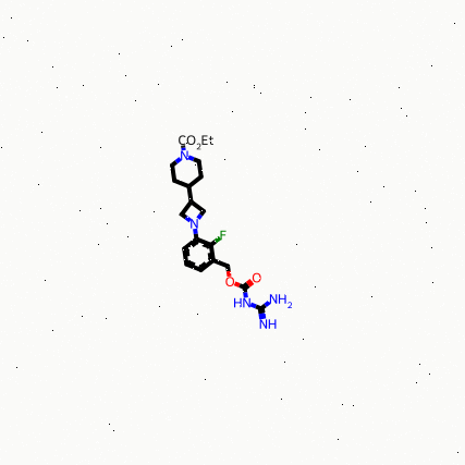 CCOC(=O)N1CCC(C2CN(c3cccc(COC(=O)NC(=N)N)c3F)C2)CC1